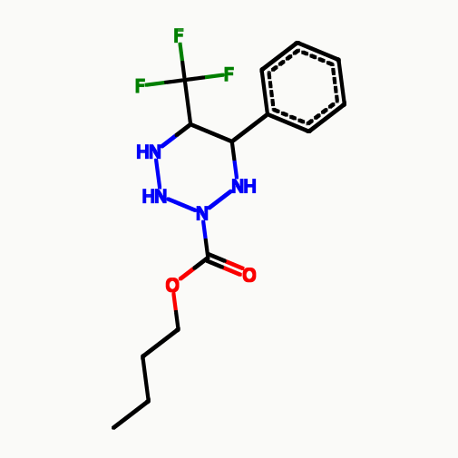 CCCCOC(=O)N1NNC(C(F)(F)F)C(c2ccccc2)N1